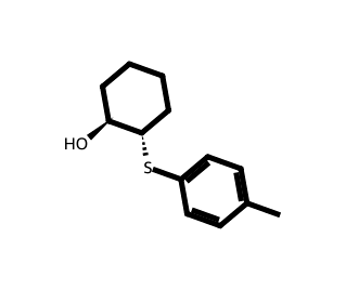 Cc1ccc(S[C@H]2CCCC[C@@H]2O)cc1